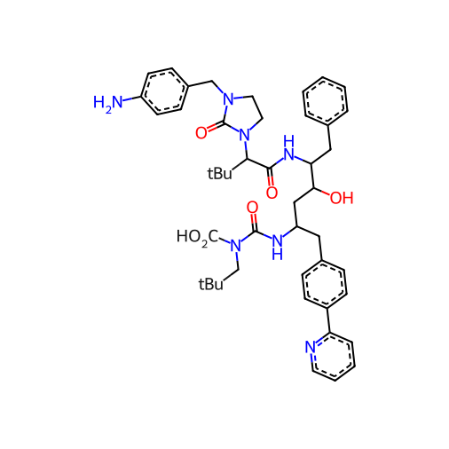 CC(C)(C)CN(C(=O)O)C(=O)NC(Cc1ccc(-c2ccccn2)cc1)CC(O)C(Cc1ccccc1)NC(=O)C(N1CCN(Cc2ccc(N)cc2)C1=O)C(C)(C)C